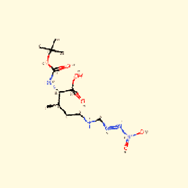 C[C@H](CCNCN=N[N+](=O)[O-])[C@H](NC(=O)OC(C)(C)C)C(=O)O